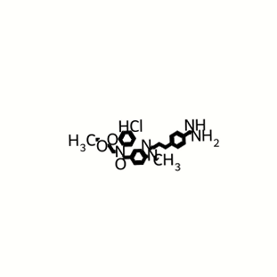 CCOC(=O)CN(C(=O)c1ccc2c(c1)nc(CCc1ccc(C(=N)N)cc1)n2C)c1ccccc1.Cl